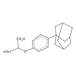 CCCCCCCCC(Oc1ccc(C23CC4CC(CC(C4)C2)C3)cc1)C(=O)O